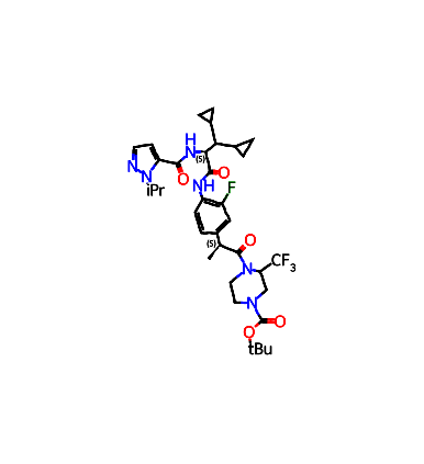 CC(C)n1nccc1C(=O)N[C@H](C(=O)Nc1ccc([C@H](C)C(=O)N2CCN(C(=O)OC(C)(C)C)CC2C(F)(F)F)cc1F)C(C1CC1)C1CC1